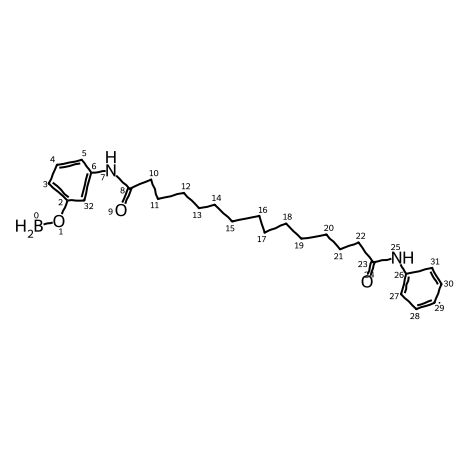 BOc1cccc(NC(=O)CCCCCCCCCCCCCC(=O)Nc2cc[c]cc2)c1